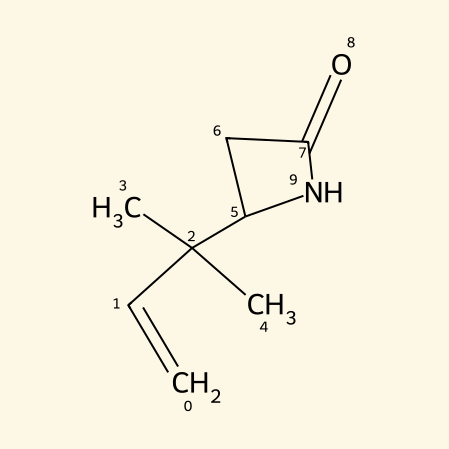 C=CC(C)(C)C1CC(=O)N1